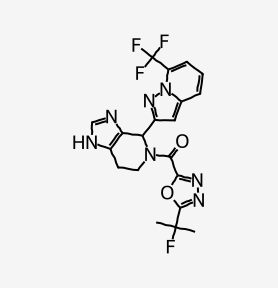 CC(C)(F)c1nnc(C(=O)N2CCc3[nH]cnc3C2c2cc3cccc(C(F)(F)F)n3n2)o1